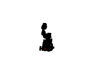 CC1CC2CC(C)C(NC(=O)c3cnc(-c4cn(C)c5cc(OCCC6CCOCC6)ccc45)nc3C(F)(F)F)(C(=O)O)C(C1)C2